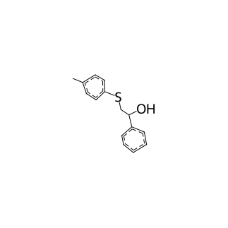 Cc1ccc(SCC(O)c2ccccc2)cc1